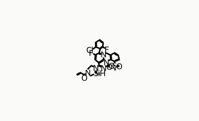 C=CC(=O)N1CCN(c2nc(=O)n(-c3c(C)cccc3S(C)(=O)=O)c3nc(-c4c(F)cccc4Cl)c(F)cc23)[Si@@H](C)C1